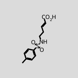 Cc1ccc(S(=O)(=O)NCC/C=C/C(=O)O)cc1